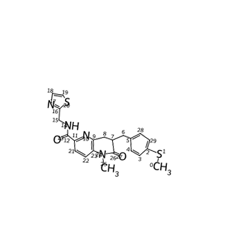 CSc1ccc(CC2Cc3nc(C(=O)NCc4nccs4)ccc3N(C)C2=O)cc1